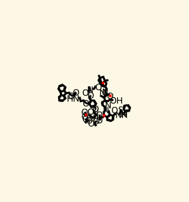 COC(=O)[C@H]1O[C@@H](Oc2ccc(COC(=O)N(C)CCOC34CC5(C)CC(C)(CC(Cn6ncc(-c7ccc(N8CCc9cccc(C(=O)Nc%10nc%11ccccc%11s%10)c9C8)nc7C(=O)O)c6C)(C5)C3)C4)c(OCCCNC(=O)OCC3c4ccccc4-c4ccccc43)c2)[C@H](OC(C)=O)[C@@H](OC(C)=O)[C@@H]1OC(C)=O